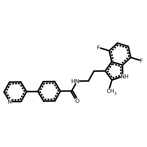 Cc1[nH]c2c(F)ccc(F)c2c1CCNC(=O)c1ccc(-c2cccnc2)cc1